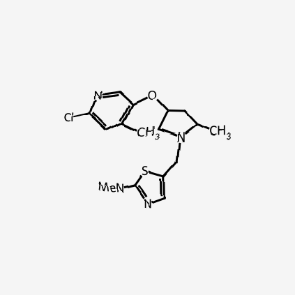 CNc1ncc(CN2CC(Oc3cnc(Cl)cc3C)CC2C)s1